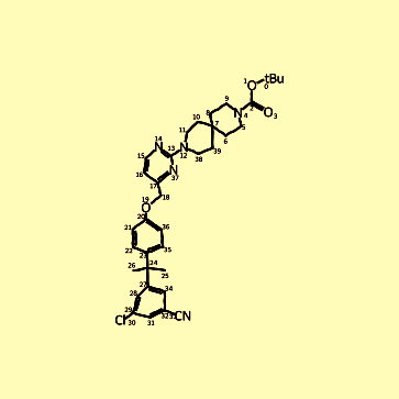 CC(C)(C)OC(=O)N1CCC2(CC1)CCN(c1nccc(COc3ccc(C(C)(C)c4cc(Cl)cc(C#N)c4)cc3)n1)CC2